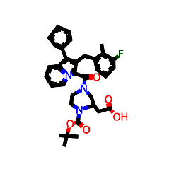 Cc1c(F)cccc1Cc1c(-c2ccccc2)c2ccccn2c1C(=O)N1CCN(C(=O)OC(C)(C)C)C(CC(=O)O)C1